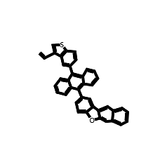 C=Cc1csc2ccc(-c3c4ccccc4c(-c4ccc5oc6cc7ccccc7cc6c5c4)c4ccccc34)cc12